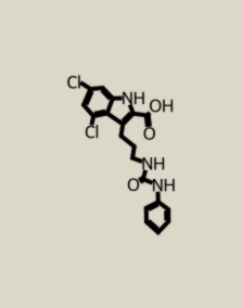 O=C(NCCCc1c(C(=O)O)[nH]c2cc(Cl)cc(Cl)c12)Nc1ccccc1